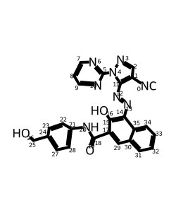 [C-]#[N+]c1cnn(-c2ncccn2)c1/N=N/c1c(O)c(C(=O)Nc2ccc(CO)cc2)cc2ccccc12